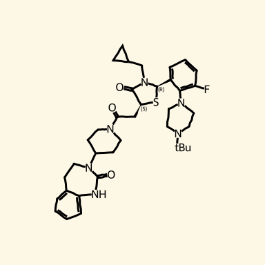 CC(C)(C)N1CCN(c2c(F)cccc2[C@H]2S[C@@H](CC(=O)N3CCC(N4CCc5ccccc5NC4=O)CC3)C(=O)N2CC2CC2)CC1